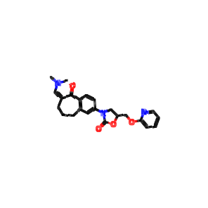 CN(C)C=C1CCCc2cc(N3CC(COc4ccccn4)OC3=O)ccc2C1=O